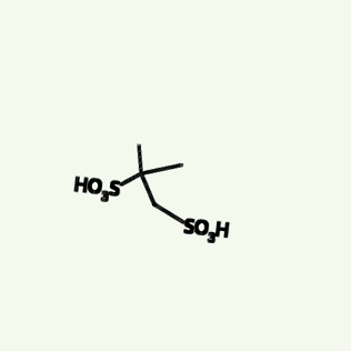 CC(C)(CS(=O)(=O)O)S(=O)(=O)O